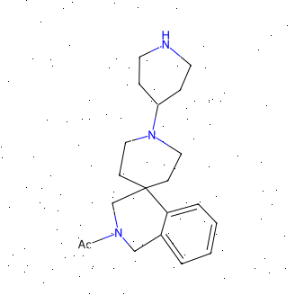 CC(=O)N1Cc2ccccc2C2(CCN(C3CCNCC3)CC2)C1